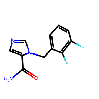 NC(=O)c1cncn1Cc1cccc(F)c1F